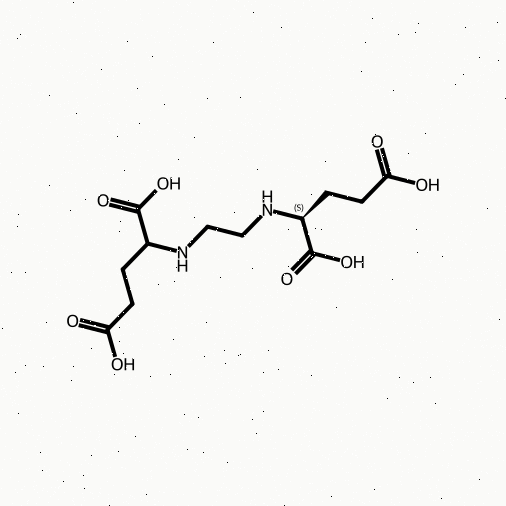 O=C(O)CCC(NCCN[C@@H](CCC(=O)O)C(=O)O)C(=O)O